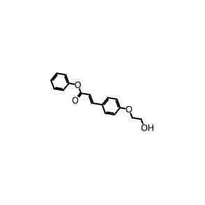 O=C(C=Cc1ccc(OCCO)cc1)Oc1ccccc1